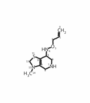 C=CCONC1CNCC2=C1SCN2C